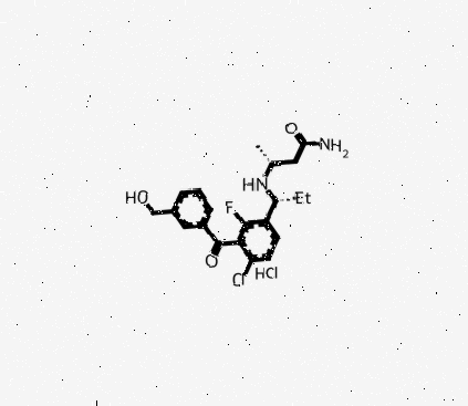 CC[C@@H](N[C@H](C)CC(N)=O)c1ccc(Cl)c(C(=O)c2cccc(CO)c2)c1F.Cl